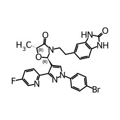 C[C@H]1O[C@H](c2cn(-c3ccc(Br)cc3)nc2-c2ccc(F)cn2)N(CCc2ccc3[nH]c(=O)[nH]c3c2)C1=O